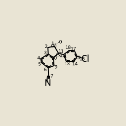 C[C@H]1Cc2ccc(C#N)cc2[C@@H]1c1ccc(Cl)cc1